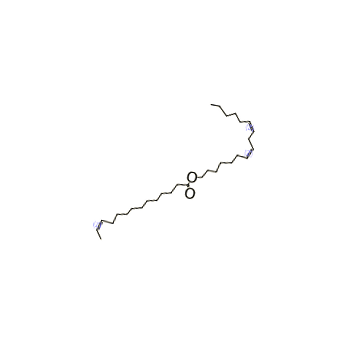 C/C=C\CCCCCCCCCCC(=O)OCCCCCC/C=C\C/C=C\CCCCC